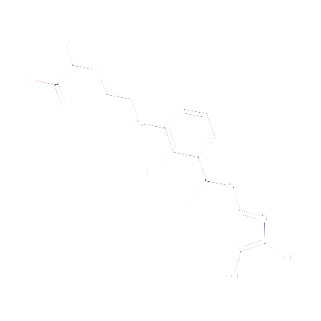 Cc1nc(NC(=O)c2cccc(NCCOC(C)C(=O)O)c2C)sc1C